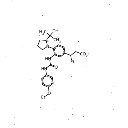 CCOc1ccc(NC(=O)Nc2cc(C(CC)CC(=O)O)ccc2N2CCC[C@H]2C(C)(C)O)cc1